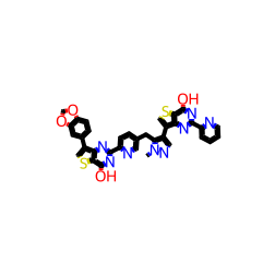 Cn1ncc(-c2csc3c(O)nc(-c4ccccn4)nc23)c1Cc1ccc(-c2nc(O)c3scc(-c4ccc5c(c4)OCO5)c3n2)nc1